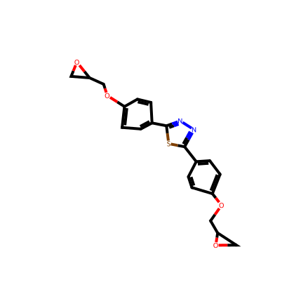 c1cc(-c2nnc(-c3ccc(OCC4CO4)cc3)s2)ccc1OCC1CO1